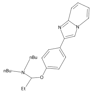 CCCCN(CCCC)C(CC)Oc1ccc(-c2cn3ccccc3n2)cc1